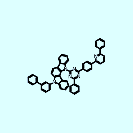 c1ccc(-c2cccc(-n3c4ccccc4c4c3ccc3c5ccccc5n(-c5nc(-c6ccccc6)nc(-c6ccc(-c7cccc(-c8ccccc8)n7)cc6)n5)c34)c2)cc1